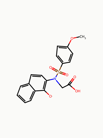 COc1ccc(S(=O)(=O)N(CC(=O)O)c2ccc3ccccc3c2[O])cc1